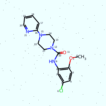 COc1ccc(Cl)cc1NC(=O)N1CCN(c2ccccn2)CC1